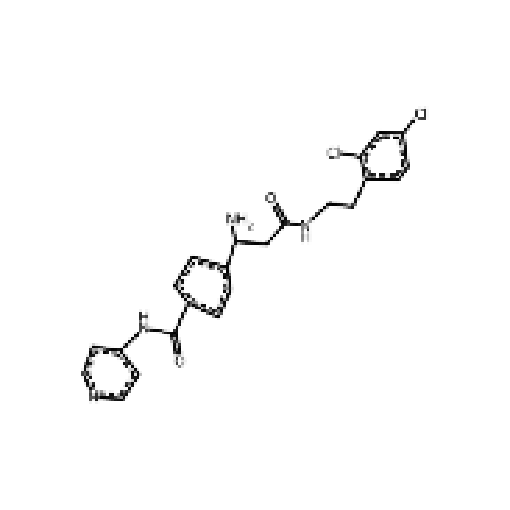 NC(CC(=O)NCCc1ccc(Cl)cc1Cl)c1ccc(C(=O)Nc2ccncc2)cc1